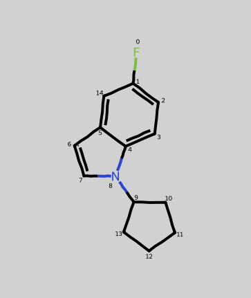 Fc1ccc2c([c]cn2C2CCCC2)c1